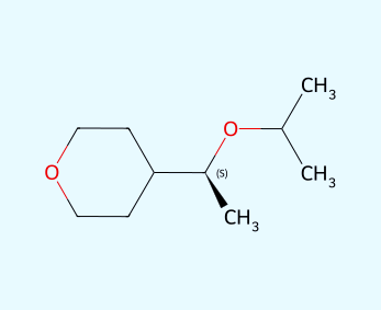 CC(C)O[C@@H](C)C1CCOCC1